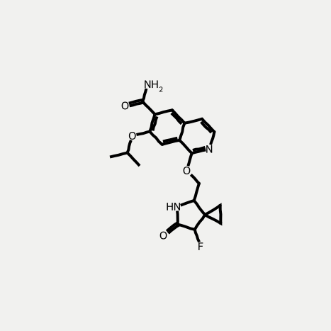 CC(C)Oc1cc2c(OCC3NC(=O)C(F)C34CC4)nccc2cc1C(N)=O